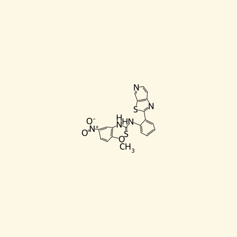 COc1ccc([N+](=O)[O-])cc1NC(=S)Nc1ccccc1-c1nc2ccncc2s1